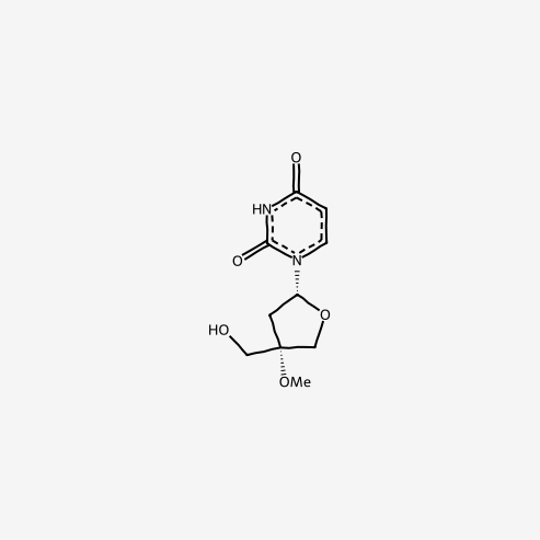 CO[C@@]1(CO)CO[C@@H](n2ccc(=O)[nH]c2=O)C1